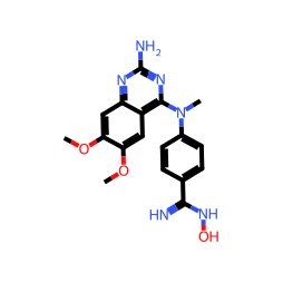 COc1cc2nc(N)nc(N(C)c3ccc(C(=N)NO)cc3)c2cc1OC